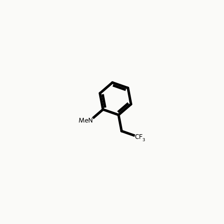 CNc1ccccc1CC(F)(F)F